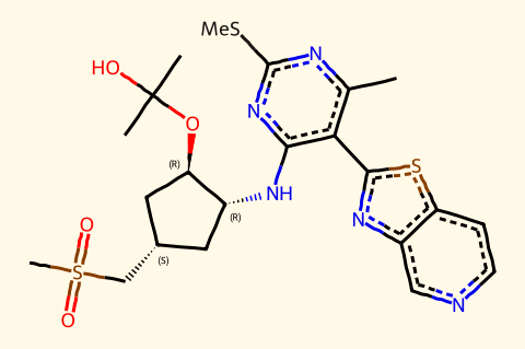 CSc1nc(C)c(-c2nc3cnccc3s2)c(N[C@@H]2C[C@H](CS(C)(=O)=O)C[C@H]2OC(C)(C)O)n1